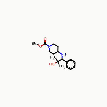 CC(C)(C)OC(=O)N1CCC(NC(c2ccccc2)C(C)(C)O)CC1